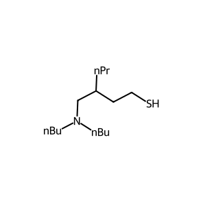 CCCCN(CCCC)CC(CCC)CCS